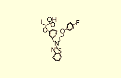 CCC(Oc1cccc(CN(CCCOc2ccc(F)cc2)c2nc3ccccc3s2)c1)C(=O)O